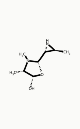 C[C@@H]1N[C@H]1[C@@H]1O[C@H](O)[C@H](C)N1C